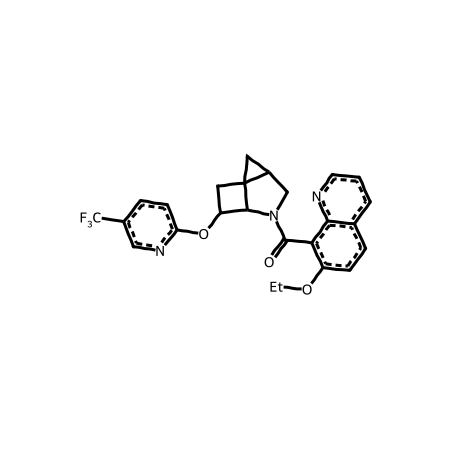 CCOc1ccc2cccnc2c1C(=O)N1CC2CC23CC(Oc2ccc(C(F)(F)F)cn2)C13